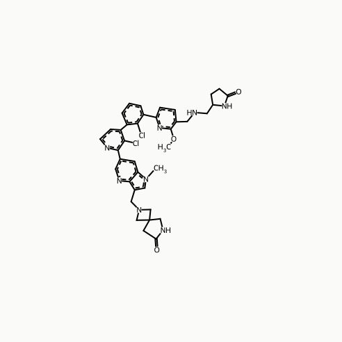 COc1nc(-c2cccc(-c3ccnc(-c4cnc5c(CN6CC7(CNC(=O)C7)C6)cn(C)c5c4)c3Cl)c2Cl)ccc1CNCC1CCC(=O)N1